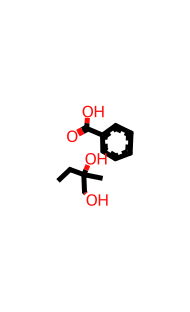 CCC(C)(O)CO.O=C(O)c1ccccc1